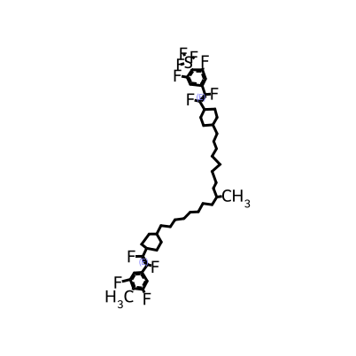 Cc1c(F)cc(/C(F)=C(\F)C2CCC(CCCCCCCCC(C)CCCCCCCCC3CCC(/C(F)=C(\F)c4cc(F)c(S(F)(F)F)c(F)c4)CC3)CC2)cc1F